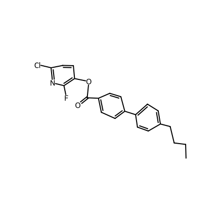 CCCCc1ccc(-c2ccc(C(=O)Oc3ccc(Cl)nc3F)cc2)cc1